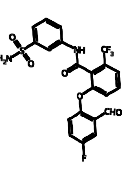 NS(=O)(=O)c1cccc(NC(=O)c2c(Oc3ccc(F)cc3C=O)cccc2C(F)(F)F)c1